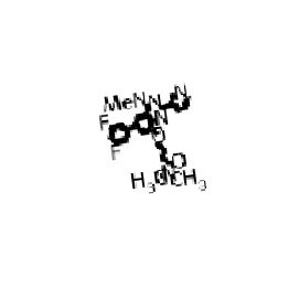 CNc1nc(-c2cccnc2)nc2c(OCCCC(=O)N(C)C)cc(-c3cc(F)cc(F)c3)cc12